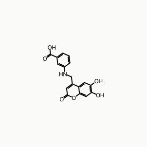 O=C(O)c1cccc(NCc2cc(=O)oc3cc(O)c(O)cc23)c1